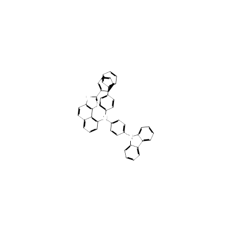 c1ccc(-c2ccc(N(c3ccc(-n4c5ccccc5c5ccccc54)cc3)c3cccc4ccc5oc(-c6ccccc6)nc5c34)cc2)cc1